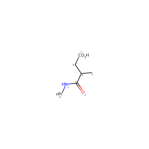 CCCNC(=O)C(C)CC(=O)O